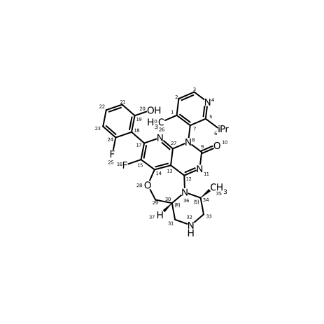 Cc1ccnc(C(C)C)c1-n1c(=O)nc2c3c(c(F)c(-c4c(O)cccc4F)nc31)OC[C@H]1CNC[C@H](C)N21